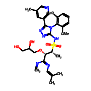 C=N/C(=N\C=C(C)C)[C@H](OC[C@H](O)CO)[C@@H](C)S(=O)(=O)Nc1nnc(-c2cncc(C)c2)n1-c1c(OC)cccc1OC